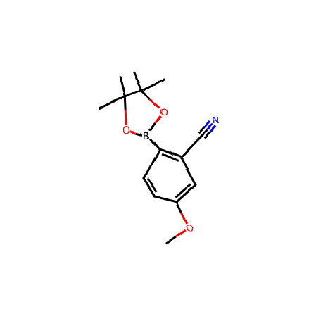 COc1ccc(B2OC(C)(C)C(C)(C)O2)c(C#N)c1